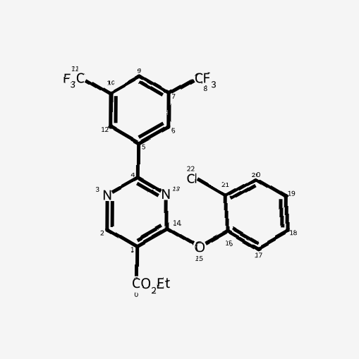 CCOC(=O)c1cnc(-c2cc(C(F)(F)F)cc(C(F)(F)F)c2)nc1Oc1ccccc1Cl